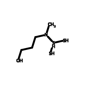 CN(CCCO)[SH](S)S